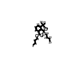 CCCCOC(=O)c1cccc(C(C)(C)C)c1C(=O)OCCCC